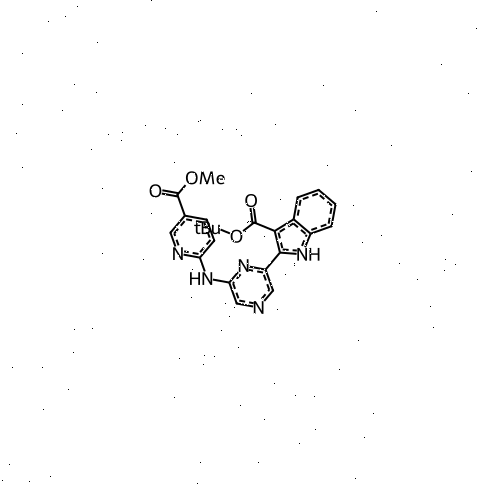 COC(=O)c1ccc(Nc2cncc(-c3[nH]c4ccccc4c3C(=O)OC(C)(C)C)n2)nc1